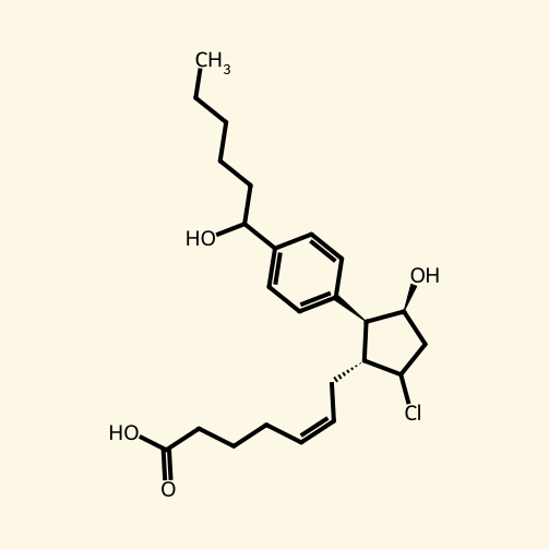 CCCCCC(O)c1ccc([C@H]2[C@@H](O)CC(Cl)[C@@H]2C/C=C\CCCC(=O)O)cc1